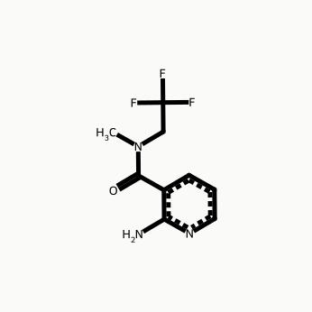 CN(CC(F)(F)F)C(=O)c1cccnc1N